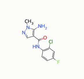 Cn1ncc(C(=O)Nc2ccc(F)cc2Cl)c1N